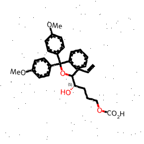 C=CCC(OC(c1ccccc1)(c1ccc(OC)cc1)c1ccc(OC)cc1)[C@@H](O)CCCOC(=O)O